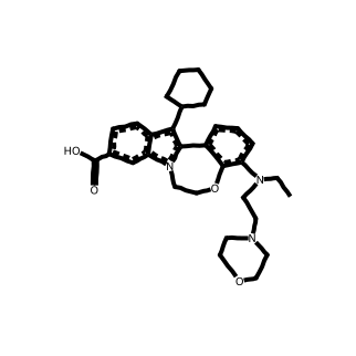 CCN(CCN1CCOCC1)c1cccc2c1OCCn1c-2c(C2CCCCC2)c2ccc(C(=O)O)cc21